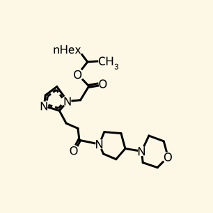 CCCCCCC(C)OC(=O)Cn1ccnc1CCC(=O)N1CCC(N2CCOCC2)CC1